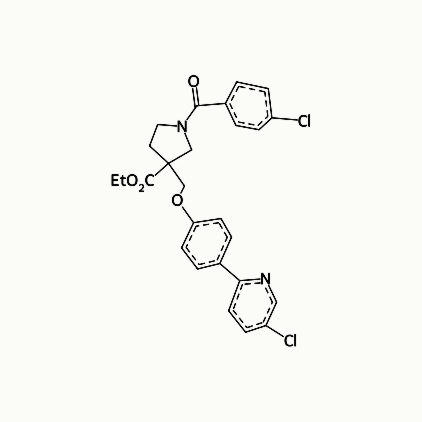 CCOC(=O)C1(COc2ccc(-c3ccc(Cl)cn3)cc2)CCN(C(=O)c2ccc(Cl)cc2)C1